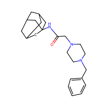 O=C(CN1CCN(Cc2ccccc2)CC1)NC12CC3CC(CC(C3)C1)C2